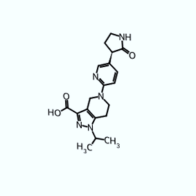 CC(C)n1nc(C(=O)O)c2c1CCN(c1ccc([C@H]3CCNC3=O)cn1)C2